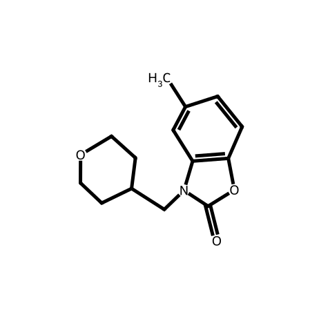 Cc1ccc2oc(=O)n(CC3CCOCC3)c2c1